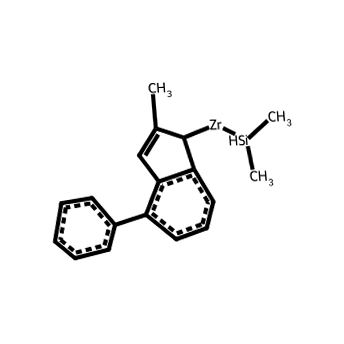 CC1=Cc2c(-c3ccccc3)cccc2[CH]1[Zr][SiH](C)C